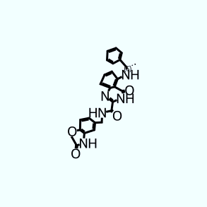 C[C@H](Nc1cccc2nc(C(=O)NCc3ccc4c(c3)NC(=O)CO4)[nH]c(=O)c12)c1ccccc1